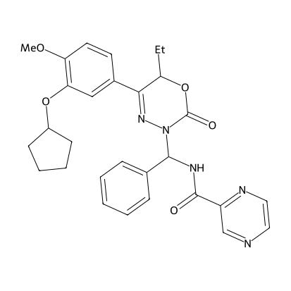 CCC1OC(=O)N(C(NC(=O)c2cnccn2)c2ccccc2)N=C1c1ccc(OC)c(OC2CCCC2)c1